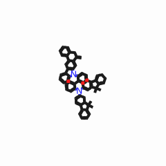 C=C1Cc2ccccc2-c2cc3c4ccccc4n(-c4ccccc4-c4ccccc4N(C4=CC=C5c6ccccc6C(C)(C)C5C4)c4ccc5c(c4)C(C)(C)C4=CCCC=C45)c3cc21